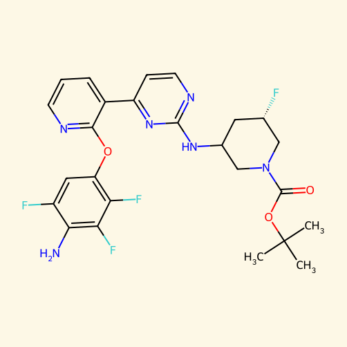 CC(C)(C)OC(=O)N1CC(Nc2nccc(-c3cccnc3Oc3cc(F)c(N)c(F)c3F)n2)C[C@H](F)C1